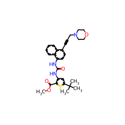 COC(=O)c1sc(C(C)(C)C)cc1NC(=O)Nc1ccc(C#CCN2CCOCC2)c2ccccc12